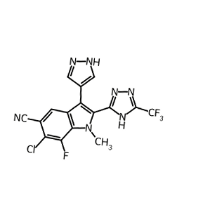 Cn1c(-c2nnc(C(F)(F)F)[nH]2)c(-c2cn[nH]c2)c2cc(C#N)c(Cl)c(F)c21